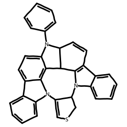 C1=CC2C3c4c(ccc5c6ccccc6n(c45)C4=CSCC4n4c3c1c1ccccc14)N2c1ccccc1